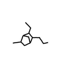 CCCC1C2CC(C)C(C2)C1CC